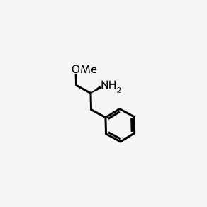 COC[C@@H](N)Cc1ccccc1